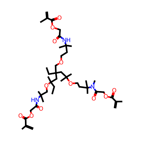 C=C(C)C(=O)OCC(=O)NC(C)(C)CCOCC(CC)(CC(C)(C)OCCC(C)(C)N(C)C(=O)COC(=O)C(=C)C)CC(C)(CC)OCC(C)(C)NC(=O)COC(=O)C(=C)C